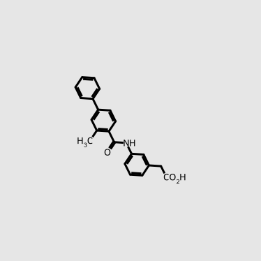 Cc1cc(-c2ccccc2)ccc1C(=O)Nc1cccc(CC(=O)O)c1